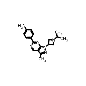 Cc1nn(C2CN(C(C)C)C2)c2nc(-c3ccc(N)cc3)ncc12